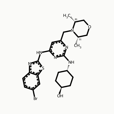 C[C@@H]1COC[C@H](C)N1Cc1cc(Nc2nc3ccc(Br)cc3s2)nc(N[C@H]2CC[C@H](O)CC2)n1